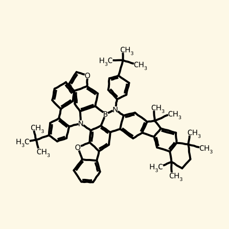 CC(C)(C)c1ccc(N2B3c4cc5occc5cc4N(c4ccc(C(C)(C)C)cc4-c4ccccc4)c4c3c(cc3c4oc4ccccc43)-c3cc4c(cc32)C(C)(C)c2cc3c(cc2-4)C(C)(C)CCC3(C)C)cc1